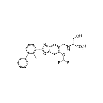 Cc1c(-c2ccccc2)cccc1-c1nc2cc(CNC(CO)C(=O)O)c(OC(F)F)cc2o1